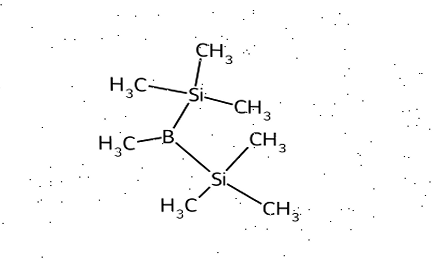 CB([Si](C)(C)C)[Si](C)(C)C